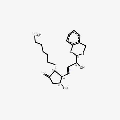 O=C(O)CCCCCC[C@H]1C(=O)C[C@@H](O)[C@@H]1/C=C/[C@H](O)[C@@H]1OCc2ccccc2O1